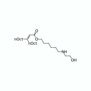 CCCCCCCCC(=CC(=O)OCCCCCCNCCO)CCCCCCCC